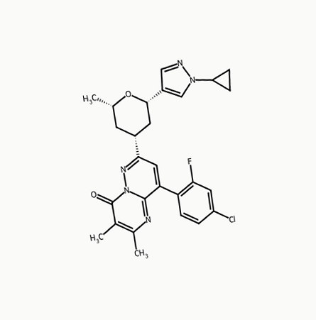 Cc1nc2c(-c3ccc(Cl)cc3F)cc([C@H]3C[C@@H](c4cnn(C5CC5)c4)O[C@@H](C)C3)nn2c(=O)c1C